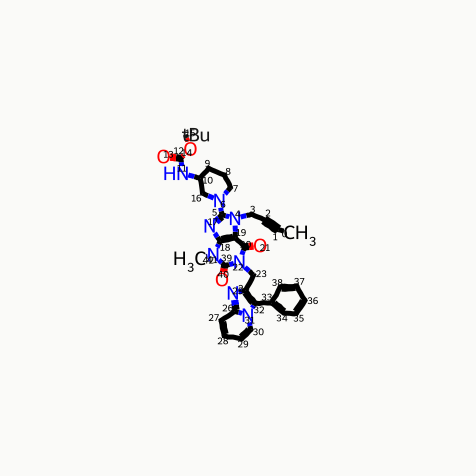 CC#CCn1c(N2CCCC(NC(=O)OC(C)(C)C)C2)nc2c1c(=O)n(Cc1nc3ccccn3c1-c1ccccc1)c(=O)n2C